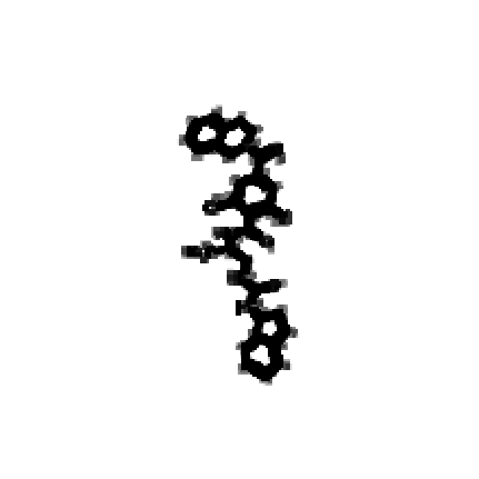 O=C(NC[C@H](NC(=O)c1c(Cl)cc(C(=O)N2CCc3ccccc3C2)cc1Cl)C(=O)O)NC1CCc2ccccc21